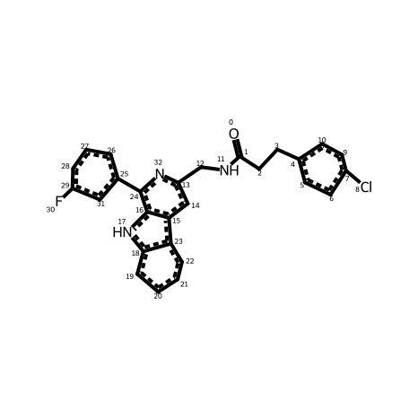 O=C(CCc1ccc(Cl)cc1)NCc1cc2c([nH]c3ccccc32)c(-c2cccc(F)c2)n1